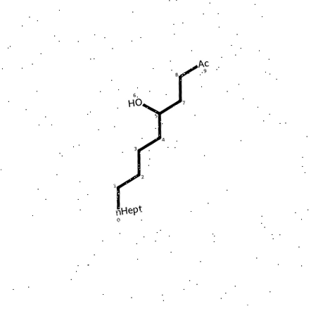 CCCCCCCCCCCC(O)CCC(C)=O